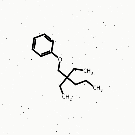 [CH2]CC(CC)(CCC)COc1ccccc1